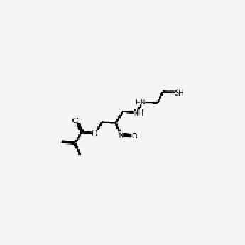 C=C(C)C(=O)OCC(CNNCCS)N=O